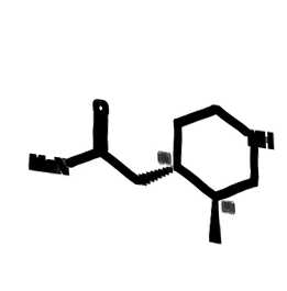 CNC(=O)C[C@@H]1CCNC[C@H]1C